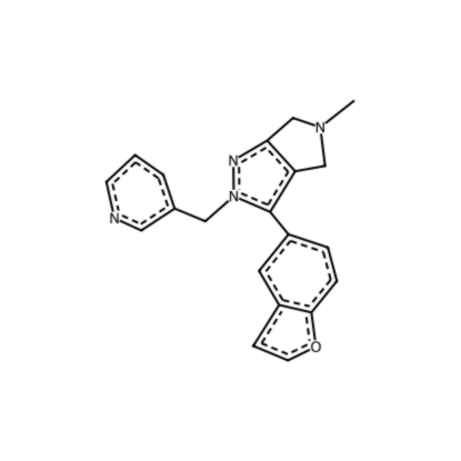 CN1Cc2nn(Cc3cccnc3)c(-c3ccc4occc4c3)c2C1